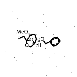 CO[C@@H]1C[C@H](OCc2ccccc2)[C@H]2COC1(CF)O2